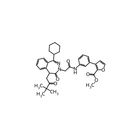 COC(=O)c1occc1-c1cccc(NC(=O)CN2N=C(C3CCCCC3)c3ccccc3C(CC(=O)C(C)(C)C)C2=O)c1